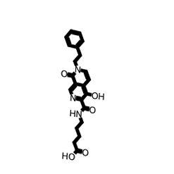 O=C(O)CCCCNC(=O)c1ncc2c(=O)n(CCc3ccccc3)ccc2c1O